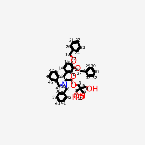 O=C(OCC(CO)(CO)CO)[C@H](Cc1ccc(OCc2ccccc2)c(OCc2ccccc2)c1)N(Cc1ccccc1)Cc1ccccc1